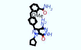 COc1c(Cc2ccc(-c3nn(C4CCCC4)c4c(=O)[nH]nc(N)c34)cc2)cccc1C(N)=O